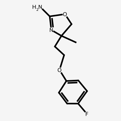 CC1(CCOc2ccc(F)cc2)COC(N)=N1